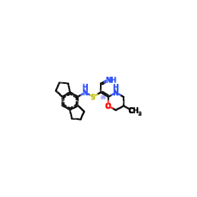 CC1CN/C(=C(\C=N)SNc2c3c(cc4c2CCC4)CCC3)OC1